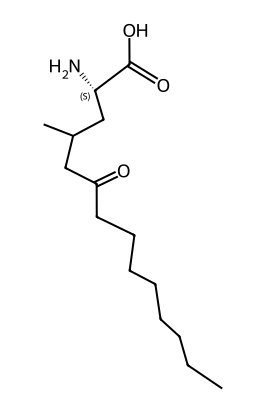 CCCCCCCCC(=O)CC(C)C[C@H](N)C(=O)O